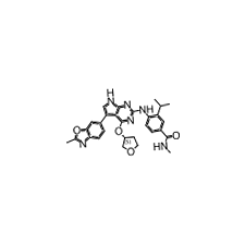 CNC(=O)c1ccc(Nc2nc(O[C@H]3CCOC3)c3c(-c4ccc5nc(C)oc5c4)c[nH]c3n2)c(C(C)C)c1